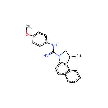 COc1ccc(NC(=N)N2CC(C)c3c2ccc2ccccc32)cc1